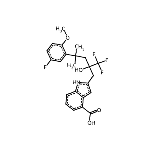 COc1ccc(F)cc1C(C)(C)CC(O)(Cc1cc2c(C(=O)O)cccc2[nH]1)C(F)(F)F